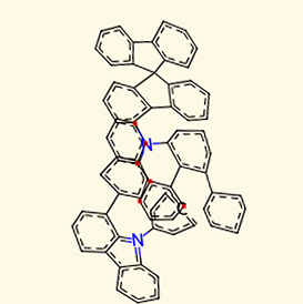 c1ccc(-c2ccccc2-c2c(-c3ccccc3)cccc2N(c2ccc(-c3cccc4c5ccccc5n(-c5ccccc5)c34)cc2)c2cccc3c2-c2ccccc2C32c3ccccc3-c3ccccc32)cc1